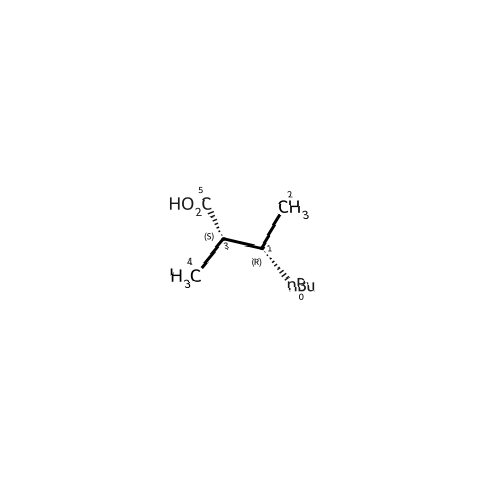 CCCC[C@@H](C)[C@H](C)C(=O)O